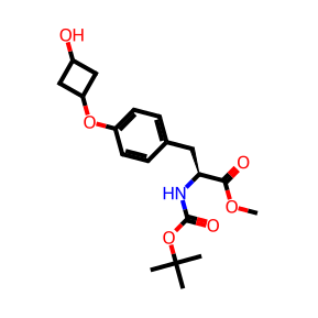 COC(=O)[C@H](Cc1ccc(OC2CC(O)C2)cc1)NC(=O)OC(C)(C)C